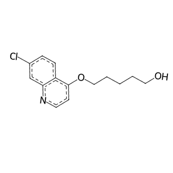 OCCCCCOc1ccnc2cc(Cl)ccc12